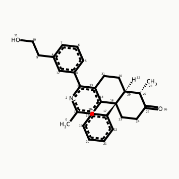 Cc1nc(-c2cccc(CCO)c2)c2c(n1)[C@@]1(c3ccccc3)CCC(=O)[C@@H](C)[C@@H]1CC2